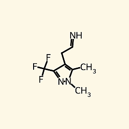 Cc1c(CC=N)c(C(F)(F)F)nn1C